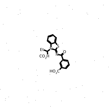 CCC(C(=O)O)n1c(=NC(=O)c2cccc(C(=O)O)c2)sc2ccccc21